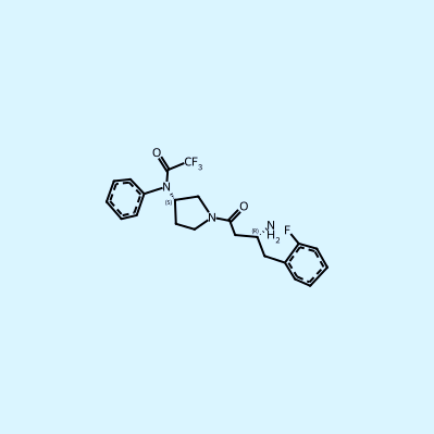 N[C@@H](CC(=O)N1CC[C@H](N(C(=O)C(F)(F)F)c2ccccc2)C1)Cc1ccccc1F